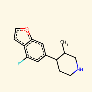 CC1CNCCC1c1cc(F)c2ccoc2c1